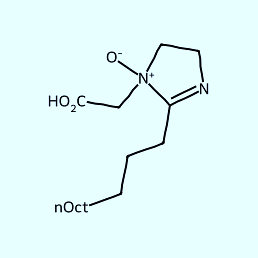 CCCCCCCCCCCC1=NCC[N+]1([O-])CC(=O)O